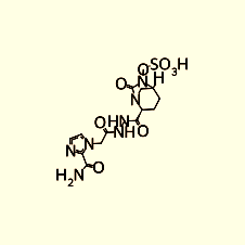 NC(=O)c1nccn1CC(=O)NNC(=O)[C@@H]1CC[C@@H]2CN1C(=O)N2OS(=O)(=O)O